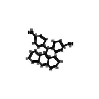 Oc1ccc(C(c2ccc(O)cc2)c2c3ccccc3cc3ccccc23)cc1